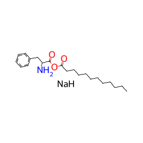 CCCCCCCCCCCC(=O)OC(=O)C(N)Cc1ccccc1.[NaH]